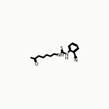 CC(=O)CCCCCNC(=S)Nc1ccccc1C#N